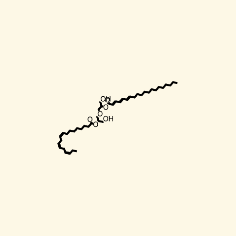 CC/C=C\C/C=C\C/C=C\CCCCCCCC(=O)OC(CO)COCC(CO)OC(=O)C=CC=CC=CCCCCCCCCCCCCC